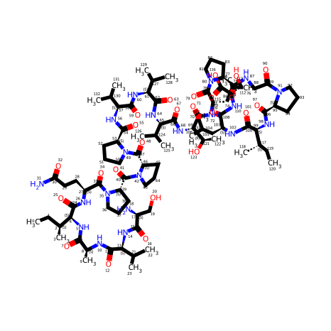 CC[C@H](C)[C@H](NC(=O)[C@H](C)NC(=O)[C@@H](NC(=O)[C@@H](N)CO)C(C)C)C(=O)N[C@@H](CCC(N)=O)C(=O)N1CCC[C@H]1C(=O)N1CCC[C@H]1C(=O)N1CCC[C@H]1C(=O)N[C@H](C(=O)N[C@H](C(=O)N[C@H](C(=O)N[C@H](C(=O)N[C@@H](CC(C)C)C(=O)N1CCC[C@H]1C(=O)NCC(=O)N1CCC[C@H]1C(=O)N[C@H](C(=O)N[C@@H](CC(C)C)C(=O)N[C@@H](CO)C(=O)O)[C@@H](C)CC)[C@@H](C)O)C(C)C)C(C)C)C(C)C